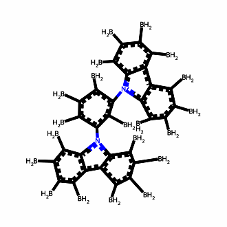 Bc1c(B)c(-n2c3c(B)c(B)c(B)c(B)c3c3c(B)c(B)c(B)c(B)c32)c(B)c(-n2c3c(B)c(B)c(B)c(B)c3c3c(B)c(B)c(B)c(B)c32)c1B